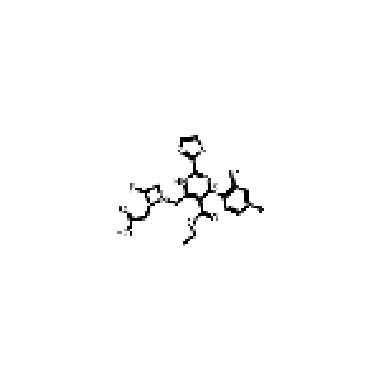 CCOC(=O)C1=C(CN2CC(F)C2CC(=O)O)NC(c2nccs2)=N[C@H]1c1ccc(F)cc1Br